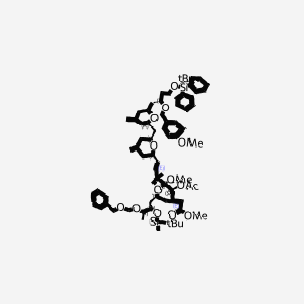 C=C1CC(C[C@H](CCO[Si](c2ccccc2)(c2ccccc2)C(C)(C)C)OCc2ccc(OC)cc2)O[C@@H](C[C@@H]2CC(=C)C[C@H](/C=C/C(C)(C)[C@]3(OC)O[C@H](C[C@@H](O[Si](C)(C)C(C)(C)C)[C@@H](C)OCOCc4ccccc4)C/C(=C\C(=O)OC)[C@@H]3OC(C)=O)O2)C1